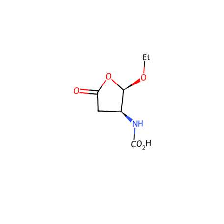 CCO[C@@H]1OC(=O)C[C@@H]1NC(=O)O